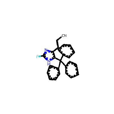 N#CCCc1nc(F)[nH]c1C(c1ccccc1)(c1ccccc1)c1ccccc1